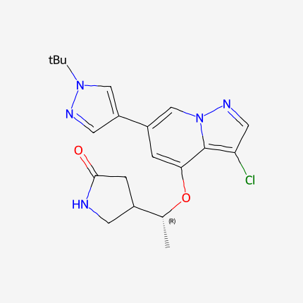 C[C@@H](Oc1cc(-c2cnn(C(C)(C)C)c2)cn2ncc(Cl)c12)C1CNC(=O)C1